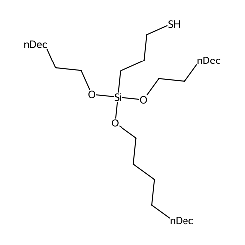 CCCCCCCCCCCCCCO[Si](CCCS)(OCCCCCCCCCCCC)OCCCCCCCCCCCC